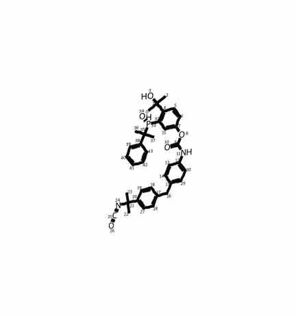 CC(C)(O)c1ccc(OC(=O)Nc2ccc(Cc3ccc(C(C)(C)N=C=O)cc3)cc2)cc1[PH](=O)C(C)(C)c1ccccc1